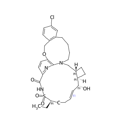 CC[C@@H]1CC/C=C/[C@@H](O)[C@@H]2CC[C@H]2CN2CCCCc3cc(Cl)ccc3COc3ccc(nc32)C(=O)NS1(=O)=O